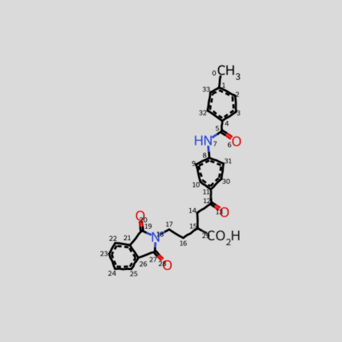 Cc1ccc(C(=O)Nc2ccc(C(=O)CC(CCN3C(=O)c4ccccc4C3=O)C(=O)O)cc2)cc1